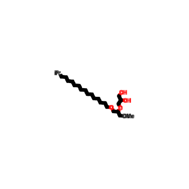 COCC(COCCCCCCCCCCCCCCCC(C)C)OCC(O)CO